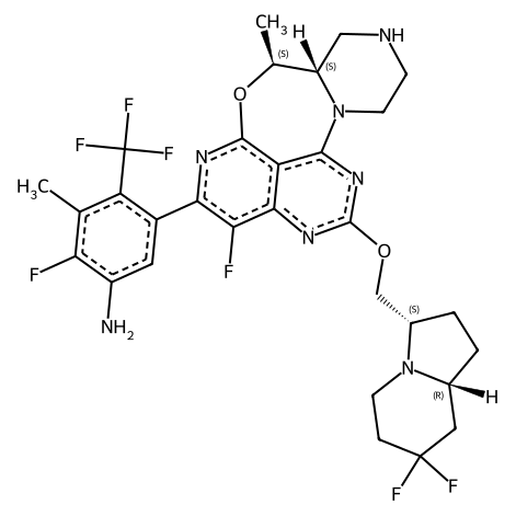 Cc1c(F)c(N)cc(-c2nc3c4c(nc(OC[C@@H]5CC[C@@H]6CC(F)(F)CCN65)nc4c2F)N2CCNC[C@H]2[C@H](C)O3)c1C(F)(F)F